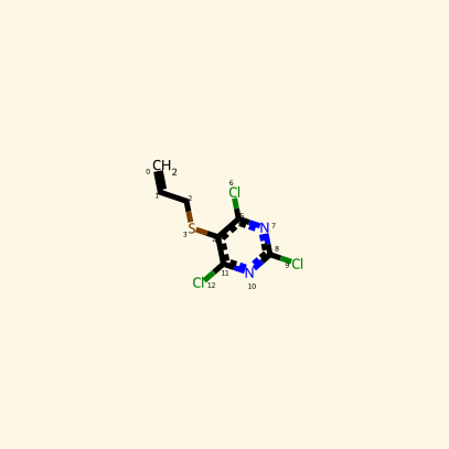 C=CCSc1c(Cl)nc(Cl)nc1Cl